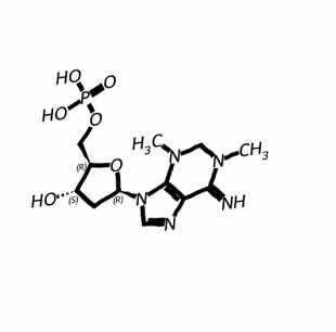 CN1CN(C)c2c(ncn2[C@H]2C[C@H](O)[C@@H](COP(=O)(O)O)O2)C1=N